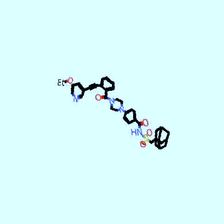 CCOc1cncc(C#Cc2ccccc2C(=O)N2CCN(c3ccc(C(=O)NS(=O)(=O)CC45CC6CC(CC(C6)C4)C5)cc3)CC2)c1